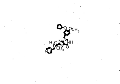 COc1ccc(CN2CNC(=O)c3[nH]c(C(C)(C)OCc4ccncc4)nc32)cc1OC1CCCC1